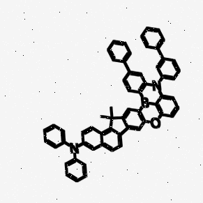 CC1(C)c2cc3c(cc2-c2ccc4cc(N(c5ccccc5)c5ccccc5)ccc4c21)Oc1cccc2c1B3c1ccc(-c3ccccc3)cc1N2c1cccc(-c2ccccc2)c1